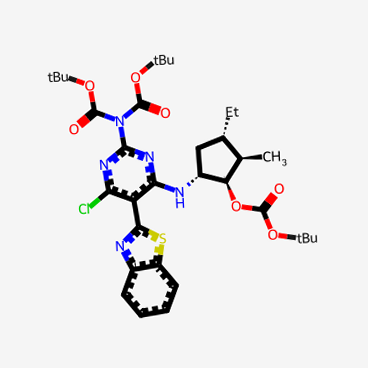 CC[C@H]1C[C@@H](Nc2nc(N(C(=O)OC(C)(C)C)C(=O)OC(C)(C)C)nc(Cl)c2-c2nc3ccccc3s2)[C@H](OC(=O)OC(C)(C)C)[C@@H]1C